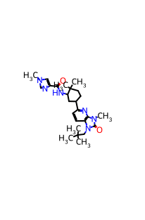 Cn1cnc(C(=O)NC2CC(c3ccc4c(n3)n(C)c(=O)n4CC(C)(C)C)CCC2(C)C)c1